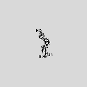 CN/C=C(\C=N)c1ccc2nnc(Sc3ccc4ncc(N5CCCN(CCO)CC5)cc4c3)n2c1